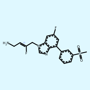 CS(=O)(=O)c1cccc(-c2cc(F)cc3c2ncn3C/C(F)=C/CN)c1